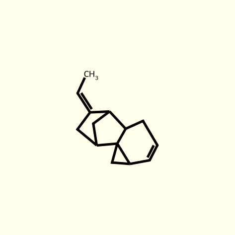 CC=C1CC2CC1C1CC=CC3CC321